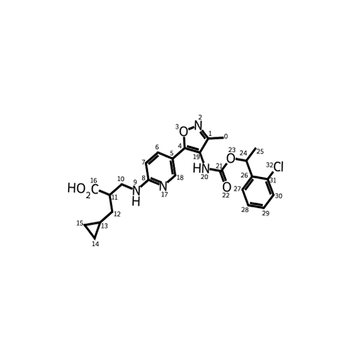 Cc1noc(-c2ccc(NCC(CC3CC3)C(=O)O)nc2)c1NC(=O)OC(C)c1ccccc1Cl